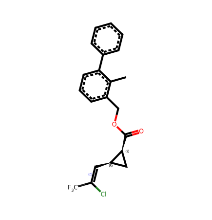 Cc1c(COC(=O)[C@H]2C[C@H]2/C=C(\Cl)C(F)(F)F)cccc1-c1ccccc1